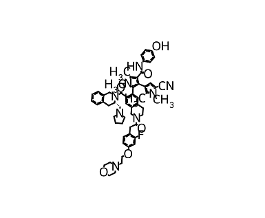 Cc1c(-c2c(C(=O)Nc3ccc(O)cc3)c(C)n(C)c2-c2cc3c(cc2C(=O)N2Cc4ccccc4C[C@H]2CN2CCCC2)CN(C(=O)Cc2ccc(OCCN4CCOCC4)cc2F)CC3)cc(C#N)n1C